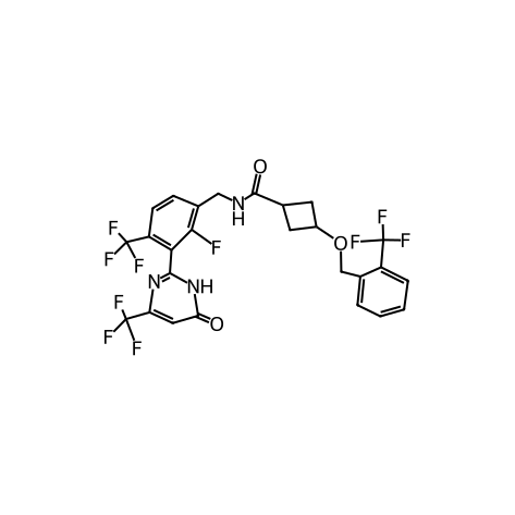 O=C(NCc1ccc(C(F)(F)F)c(-c2nc(C(F)(F)F)cc(=O)[nH]2)c1F)C1CC(OCc2ccccc2C(F)(F)F)C1